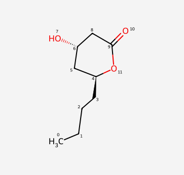 CCCC[C@H]1C[C@H](O)CC(=O)O1